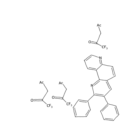 CC(=O)CC(=O)C(F)(F)F.CC(=O)CC(=O)C(F)(F)F.CC(=O)CC(=O)C(F)(F)F.c1ccc(-c2cc3ccc4ncccc4c3nc2-c2ccccc2)cc1